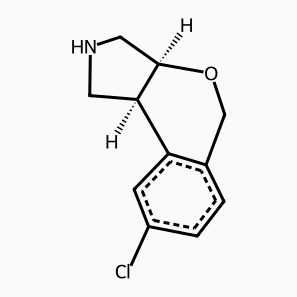 Clc1ccc2c(c1)[C@H]1CNC[C@H]1OC2